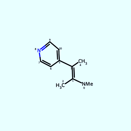 CN/C(C)=C(\C)c1ccncc1